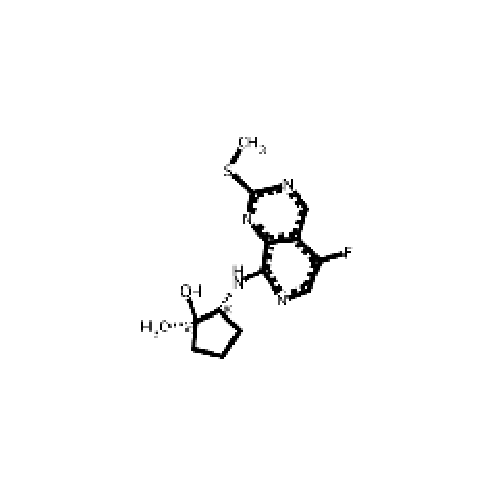 CSc1ncc2c(F)cnc(N[C@@H]3CCC[C@@]3(C)O)c2n1